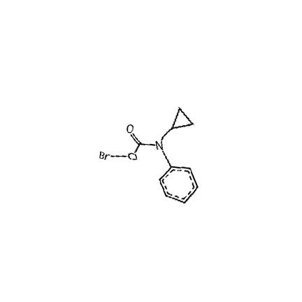 O=C(OBr)N(c1ccccc1)C1CC1